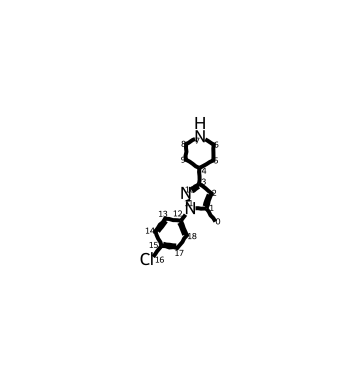 Cc1cc(C2CCNCC2)nn1-c1ccc(Cl)cc1